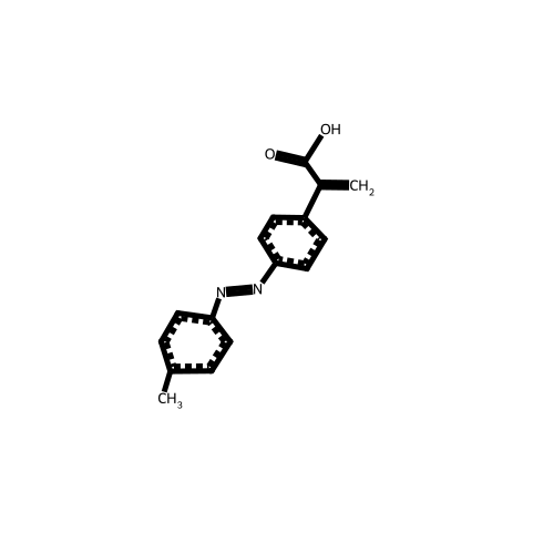 C=C(C(=O)O)c1ccc(N=Nc2ccc(C)cc2)cc1